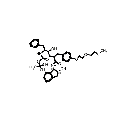 COCCOCCOc1ccc(CC(CC(O)C(Cc2ccccc2)NC(=O)OC(C)(C)C)C(=O)N[C@H]2c3ccccc3C[C@@H]2O)cc1